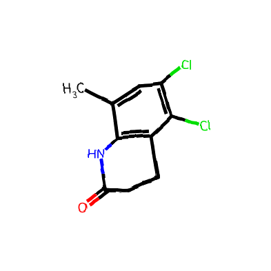 Cc1cc(Cl)c(Cl)c2c1NC(=O)CC2